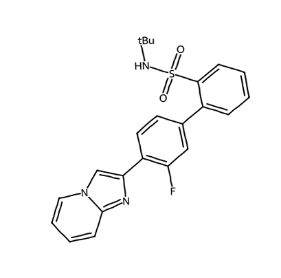 CC(C)(C)NS(=O)(=O)c1ccccc1-c1ccc(-c2cn3ccccc3n2)c(F)c1